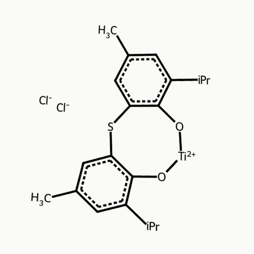 Cc1cc2c(c(C(C)C)c1)[O][Ti+2][O]c1c(cc(C)cc1C(C)C)S2.[Cl-].[Cl-]